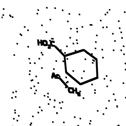 CC(C)=O.O=C(O)C1CCCCC1